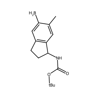 Bc1cc2c(cc1C)C(NC(=O)OC(C)(C)C)CC2